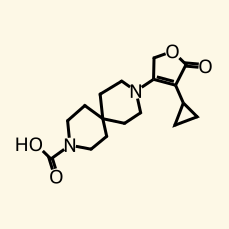 O=C1OCC(N2CCC3(CCN(C(=O)O)CC3)CC2)=C1C1CC1